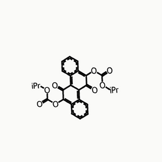 CC(C)OC(=O)OC1=c2ccccc2=C2C(=O)C(OC(=O)OC(C)C)=c3ccccc3=C2C1=O